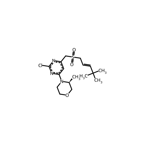 C[C@H]1COCCN1c1cc(CS(=O)(=O)CC=CC(C)(C)C)nc(Cl)n1